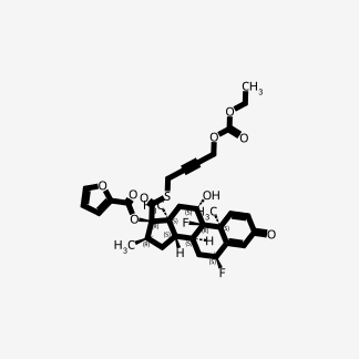 CCOC(=O)OCC#CCSC(=O)[C@@]1(OC(=O)c2ccco2)[C@H](C)C[C@H]2[C@@H]3C[C@H](F)C4=CC(=O)C=C[C@]4(C)[C@@]3(F)[C@@H](O)C[C@@]21C